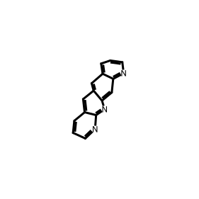 c1cnc2cc3nc4ncccc4cc3cc2c1